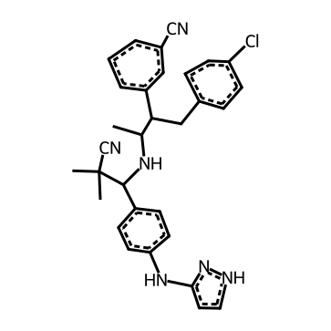 CC(NC(c1ccc(Nc2cc[nH]n2)cc1)C(C)(C)C#N)C(Cc1ccc(Cl)cc1)c1cccc(C#N)c1